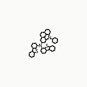 c1ccc(-n2c3cccc4ccc5cc(N(c6cccc7c6sc6ccccc67)c6cccc7c6sc6ccccc67)cc2c5c43)cc1